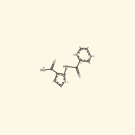 O=C(Nc1sccc1C(=O)O)c1cnccn1